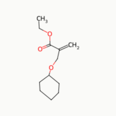 C=C(COC1CCCCC1)C(=O)OCC